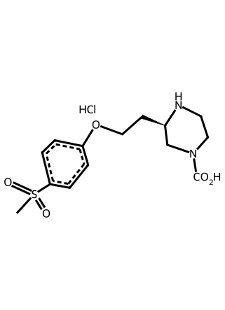 CS(=O)(=O)c1ccc(OCC[C@@H]2CN(C(=O)O)CCN2)cc1.Cl